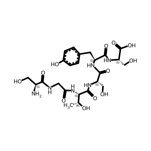 C[C@@H](O)[C@H](NC(=O)CNC(=O)[C@@H](N)CO)C(=O)N[C@@H](CO)C(=O)N[C@@H](Cc1ccc(O)cc1)C(=O)N[C@@H](CO)C(=O)O